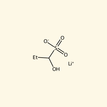 CCC(O)S(=O)(=O)[O-].[Li+]